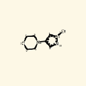 CCn1cc(N2CCOCC2)cn1